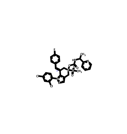 CC(NC(=O)O[N+]1(S(C)(=O)=O)C/C(=C\c2ccc(F)cc2)c2c(cnn2-c2ccc(Cl)cc2Cl)C1)c1ccccn1